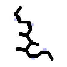 C=C(/C=C\C=C/C)N(C)C(=C)/C=C\C=N/C